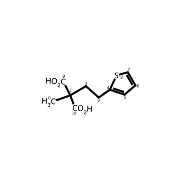 CC(CCc1cccs1)(C(=O)O)C(=O)O